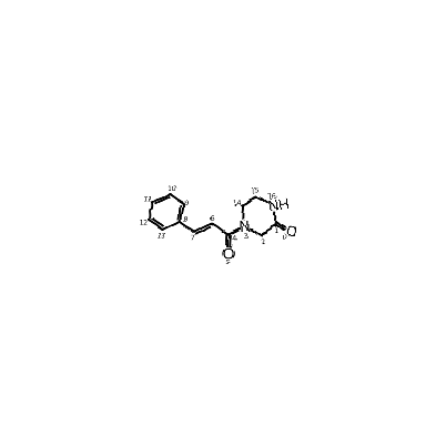 O=C1CN(C(=O)C=Cc2ccccc2)CCN1